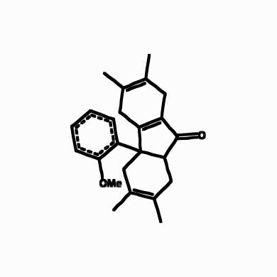 COc1ccccc1C12CC(C)=C(C)CC1C(=O)C1=C2CC(C)=C(C)C1